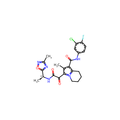 Cc1noc([C@H](C)NC(=O)C(=O)c2c(C)c(C(=O)Nc3ccc(F)c(Cl)c3)c3n2CCCC3)n1